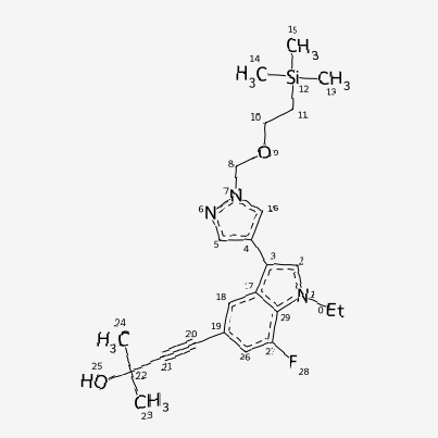 CCn1cc(-c2cnn(COCC[Si](C)(C)C)c2)c2cc(C#CC(C)(C)O)cc(F)c21